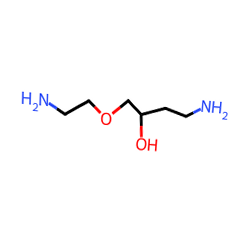 NCCOCC(O)CCN